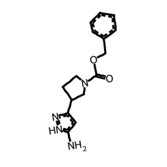 Nc1cc(C2CCN(C(=O)OCc3ccccc3)C2)n[nH]1